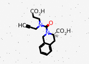 C#CCN(CCC(=O)O)C(=O)N1Cc2ccccc2C[C@H]1C(=O)O